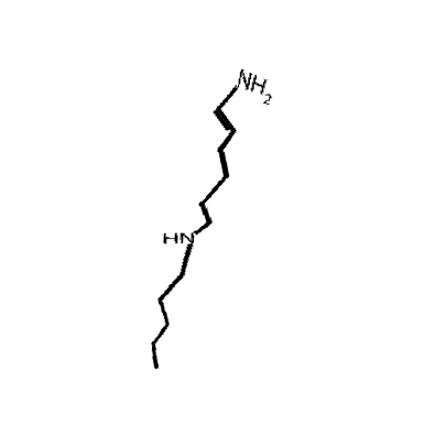 CCCCCNCCCCC=CN